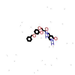 O=C(NCc1cc[nH]c(=O)c1)C1COc2ccc(OCc3ccccc3)cc2O1